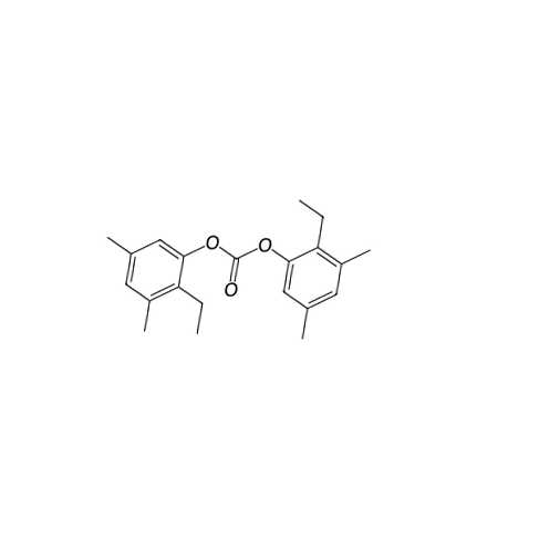 CCc1c(C)cc(C)cc1OC(=O)Oc1cc(C)cc(C)c1CC